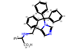 CC(C)C(NCCc1cncn1C(c1ccccc1)(c1ccccc1)c1ccccc1)C(=O)O